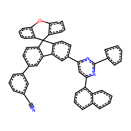 N#Cc1cccc(-c2ccc3c(c2)-c2cc(-c4cc(-c5cccc6ccccc56)nc(-c5ccccc5)n4)ccc2C32c3ccccc3Oc3ccccc32)c1